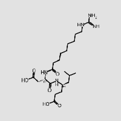 CC(C)C[C@@H](CCC(=O)O)NC(=O)[C@H](CC(=O)O)NC(=O)CCCCCCCCNC(=N)N